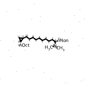 CCCCCCCCC[C@H](CCCCCCCCCC1C[C@H]1CCCCCCCC)N(C)C